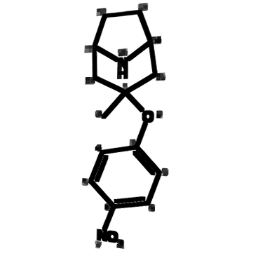 CC1(Oc2ccc([N+](=O)[O-])cc2)CC2CCC(C1)N2